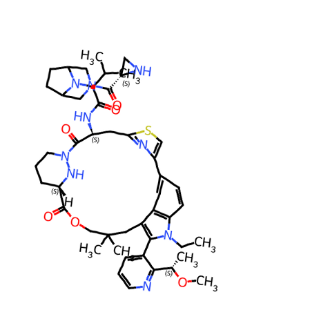 CCn1c(-c2cccnc2[C@H](C)OC)c2c3cc(ccc31)-c1csc(n1)C[C@H](NC(=O)C(C(C)C)N1C3CCC1CN(C(=O)[C@@H]1CN1)C3)C(=O)N1CCC[C@H](N1)C(=O)OCC(C)(C)C2